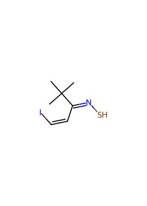 CC(C)(C)C(/C=C\I)=N/S